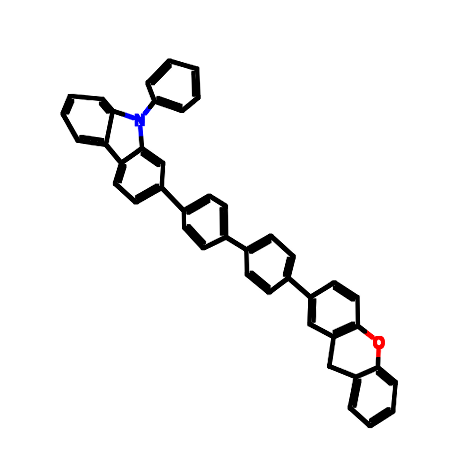 c1ccc(-n2c3ccccc3c3ccc(-c4ccc(-c5ccc(-c6ccc7c(c6)Cc6ccccc6O7)cc5)cc4)cc32)cc1